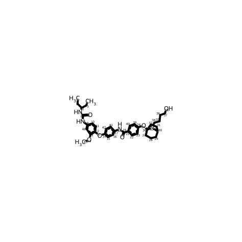 CCC(CC)NC(=O)Nc1ccc(Oc2ccc(NC(=O)c3ccc(OC45CCCC(CC4)N5CCCCO)cc3)cc2)c(OC)c1